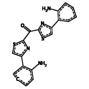 Nc1ccccc1-c1csc(C(=O)c2nc(-c3ccccc3N)cs2)n1